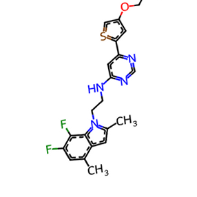 CCOc1csc(-c2cc(NCCn3c(C)cc4c(C)cc(F)c(F)c43)ncn2)c1